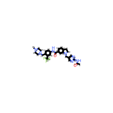 CC(=O)Nc1ncc(CN2CCc3ccc(C(=O)Nc4ccc(CN5CCN(C)CC5)c(C(F)(F)F)c4)cc32)cn1